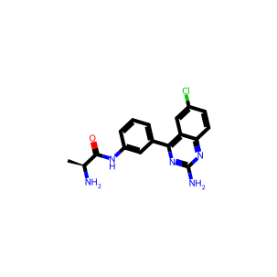 C[C@H](N)C(=O)Nc1cccc(-c2nc(N)nc3ccc(Cl)cc23)c1